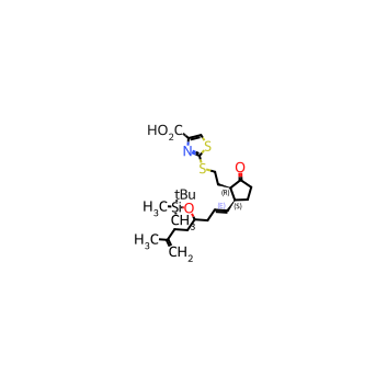 C=C(C)CCC(C/C=C/[C@@H]1CCC(=O)[C@@H]1CCSc1nc(C(=O)O)cs1)O[Si](C)(C)C(C)(C)C